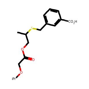 CC(C)OCC(=O)OCC(C)SCc1cccc(C(=O)O)c1